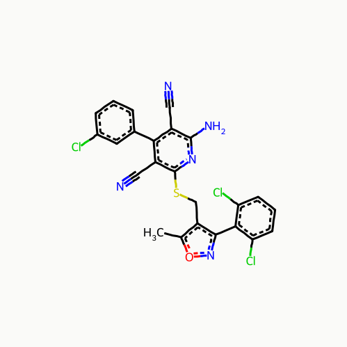 Cc1onc(-c2c(Cl)cccc2Cl)c1CSc1nc(N)c(C#N)c(-c2cccc(Cl)c2)c1C#N